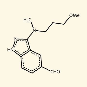 COCCCN(C)c1n[nH]c2ccc(C=O)cc12